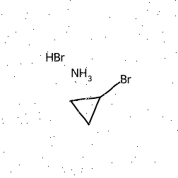 Br.BrC1CC1.N